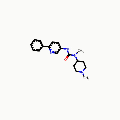 CN1CCC(N(C)C(=O)Nc2ccc(-c3ccccc3)nc2)CC1